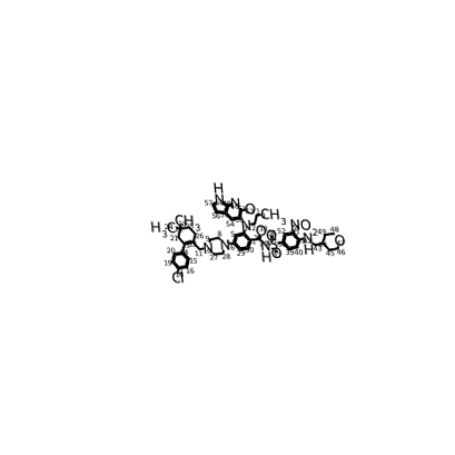 CC1CN(c2cc(N3CCN(CC4=C(c5ccc(Cl)cc5)CC(C)(C)CC4)CC3)ccc2C(=O)NS(=O)(=O)c2ccc(NCC3CCOCC3)c([N+](=O)[O-])c2)c2cc3cc[nH]c3nc2O1